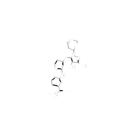 Cc1nn(C2CCOCC2)c(Oc2ccnc(Nc3cccc(C(N)=O)c3)c2)c1C